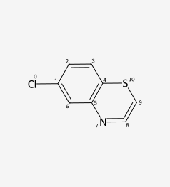 Clc1ccc2c(c1)N=C=CS2